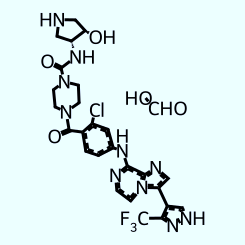 O=C(N[C@@H]1CNC[C@H]1O)N1CCN(C(=O)c2ccc(Nc3nccn4c(-c5c[nH]nc5C(F)(F)F)cnc34)cc2Cl)CC1.O=CO